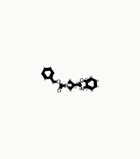 O=C(OCc1ccccc1)N1CC(c2nc3ccccc3o2)C1